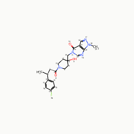 CC(CC(=O)N1CCC(O)(Cn2cnc3c(cnn3C)c2=O)CC1)c1ccc(F)cc1